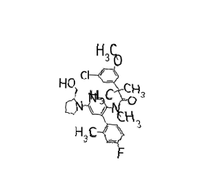 COc1cc(Cl)cc(C(C)(C)C(=O)N(C)c2cnc(N3CCC[C@H]3CO)cc2-c2ccc(F)cc2C)c1